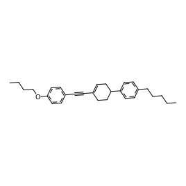 CCCCCc1ccc(C2CC=C(C#Cc3ccc(OCCCC)cc3)CC2)cc1